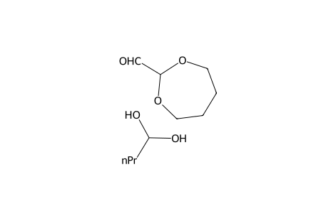 CCCC(O)O.O=CC1OCCCCO1